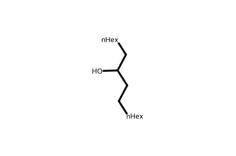 CCCCCCCCC(O)CCCCCCC